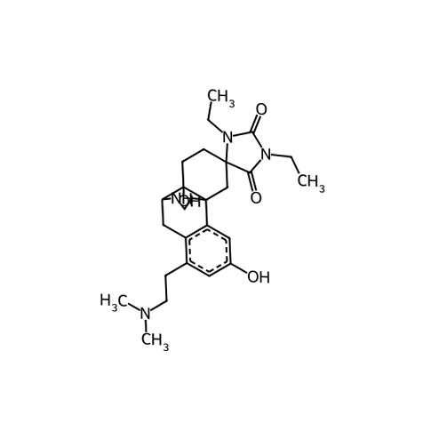 CCN1C(=O)N(CC)C2(CCC3(O)C4Cc5c(CCN(C)C)cc(O)cc5C3(CCN4)C2)C1=O